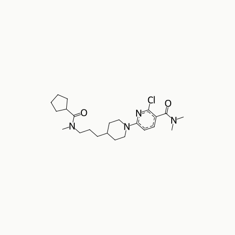 CN(C)C(=O)c1ccc(N2CCC(CCCN(C)C(=O)C3CCCC3)CC2)nc1Cl